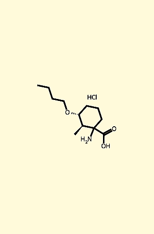 CCCCO[C@@H]1CCCC(N)(C(=O)O)[C@H]1C.Cl